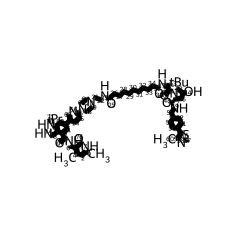 Cc1cc(C)c(CNC(=O)c2cc(-c3ccc(N4CCN(CCNC(=O)CCCCCCCCCC(=O)N[C@H](C(=O)N5C[C@H](O)C[C@H]5C(=O)NCc5ccc(-c6scnc6C)cc5)C(C)(C)C)CC4)nc3)cc(NC(C)C)c2C=N)c(=O)[nH]1